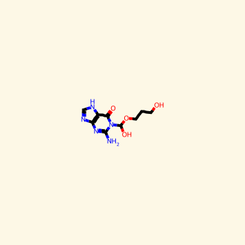 Nc1nc2nc[nH]c2c(=O)n1C(O)OCCCO